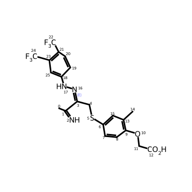 CC(=N)/C(CSc1ccc(OCC(=O)O)c(C)c1)=N\Nc1ccc(C(F)(F)F)c(C(F)(F)F)c1